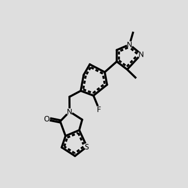 Cc1nn(C)cc1-c1ccc(CN2Cc3sccc3C2=O)c(F)c1